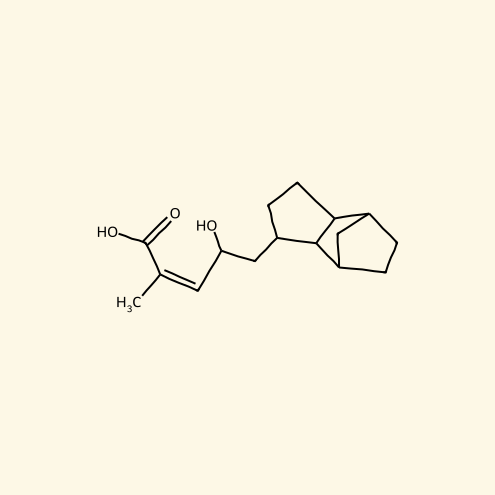 CC(=CC(O)CC1CCC2C3CCC(C3)C12)C(=O)O